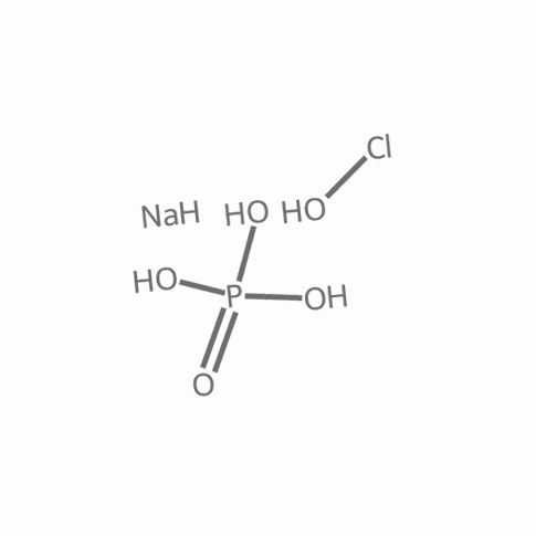 O=P(O)(O)O.OCl.[NaH]